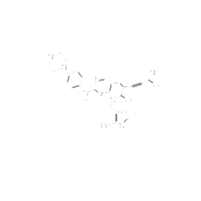 CC(C)c1ncoc1Cn1c(=O)c(C#CC(=O)N(C)C)cc2cnc(Nc3ccc(N4CCNCC4)cc3)nc21